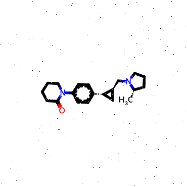 C[C@H]1CCCN1C[C@H]1C[C@@H]1c1ccc(N2CCCCC2=O)cc1